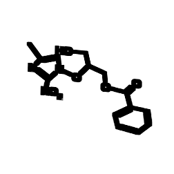 Cc1cn(OC(CO)COC(=O)c2ccccc2)c([N+](=O)[O-])n1